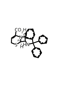 O=C(O)C1=CCS[C@@H]2C(NC(c3ccccc3)(c3ccccc3)c3ccccc3)C(=O)N12